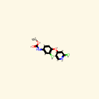 CC(C)(C)OC(=O)Nc1ccc(Oc2ccnc(Cl)c2)c(Cl)c1